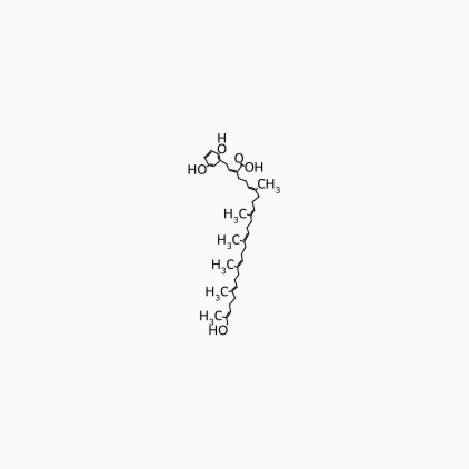 C/C(=C\CC/C(C)=C/CC/C(C)=C/CC/C(C)=C/CC/C(C)=C/CC/C(C)=C/CCC(=CCc1cc(O)ccc1O)C(=O)O)CO